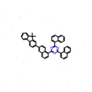 CC1(C)c2ccccc2-c2ccc(-c3ccc4c(-c5nc(-c6cccc7ccccc67)nc(-c6cccc7ccccc67)n5)cccc4c3)cc21